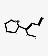 C=CC=C(CC)C1CCCCN1